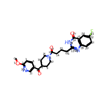 COc1ccc(C(=O)C2CCN(C(=O)CCCc3nc4ccc(F)cc4c(=O)[nH]3)CC2)cn1